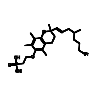 Cc1c(C)c2c(c(C)c1OCCP(=O)(O)O)CCC(C)(C=CCC(C)CCCC(C)C)O2